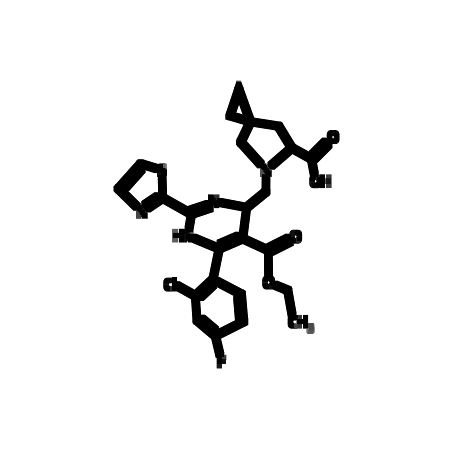 CCOC(=O)C1=C(c2ccc(F)cc2Cl)NC(c2nccs2)=NC1CN1CC2(CC2)CC1C(=O)O